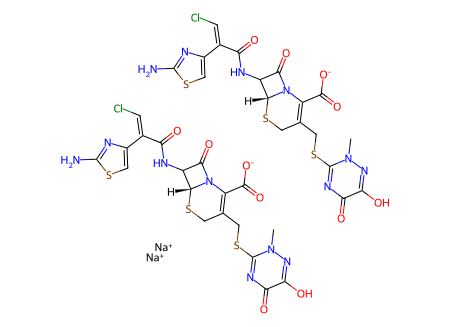 Cn1nc(O)c(=O)nc1SCC1=C(C(=O)[O-])N2C(=O)C(NC(=O)/C(=C/Cl)c3csc(N)n3)[C@H]2SC1.Cn1nc(O)c(=O)nc1SCC1=C(C(=O)[O-])N2C(=O)C(NC(=O)/C(=C/Cl)c3csc(N)n3)[C@H]2SC1.[Na+].[Na+]